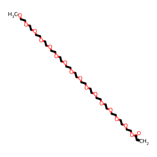 C=CC(=O)OCCOCCOCCOCCOCCOCCOCCOCCOCCOCCOCCOCCOCCOCCOCCOC